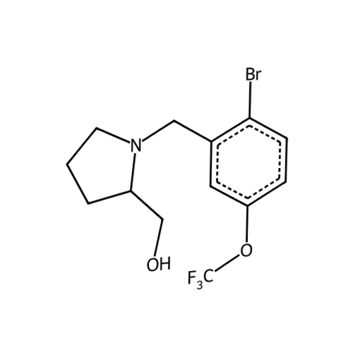 OCC1CCCN1Cc1cc(OC(F)(F)F)ccc1Br